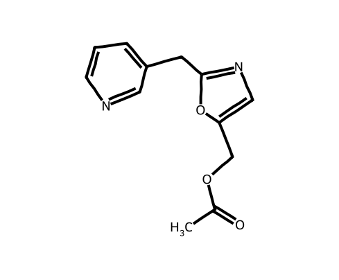 CC(=O)OCc1cnc(Cc2cccnc2)o1